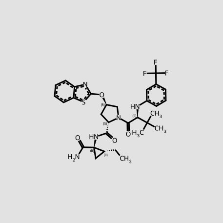 CC[C@@H]1C[C@]1(NC(=O)[C@@H]1C[C@@H](Oc2nc3ccccc3s2)CN1C(=O)[C@@H](Nc1cccc(C(F)(F)F)c1)C(C)(C)C)C(N)=O